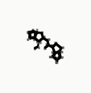 CC[C@@H]1c2nncn2CC1CC(C)C1CCn2cnnc21